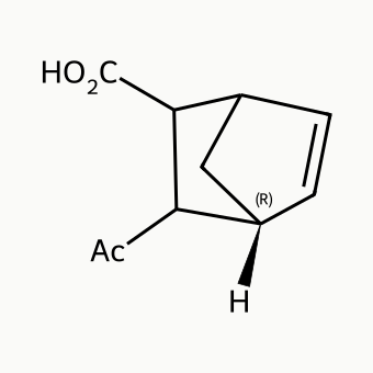 CC(=O)C1C(C(=O)O)C2C=C[C@H]1C2